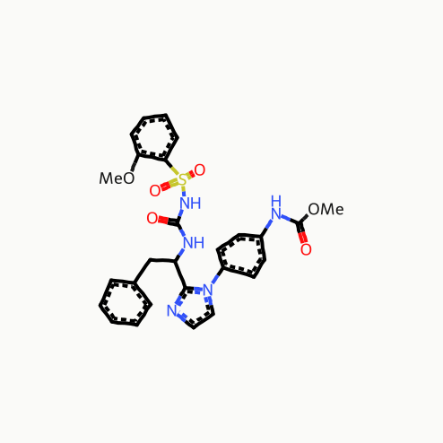 COC(=O)Nc1ccc(-n2ccnc2C(Cc2ccccc2)NC(=O)NS(=O)(=O)c2ccccc2OC)cc1